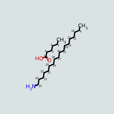 CCCCCC(=O)O.CCCCCCCCCCCCCCCCCCN